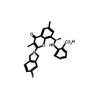 Cc1cc([C@@H](C)Nc2ccccc2C(=O)O)c2oc(N3Cc4ccc(F)cc4C3)c(C)c(=O)c2c1